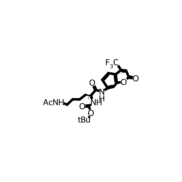 CC(=O)NCCCC[C@H](NC(=O)OC(C)(C)C)C(=O)Nc1ccc2c(C(F)(F)F)cc(=O)oc2c1